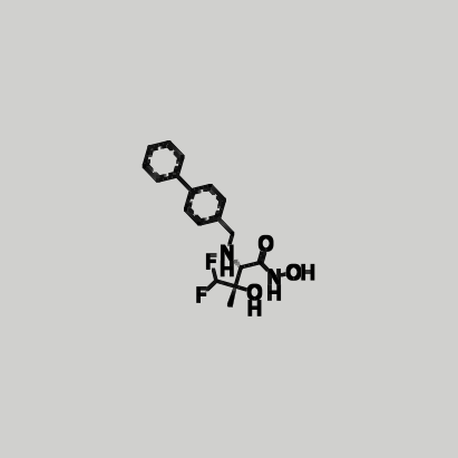 C[C@@](O)(C(F)F)[C@H](NCc1ccc(-c2ccccc2)cc1)C(=O)NO